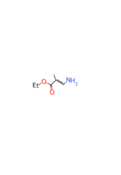 CCOC(=O)/C(C)=C/N